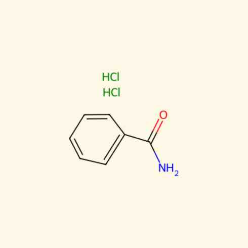 Cl.Cl.NC(=O)c1ccccc1